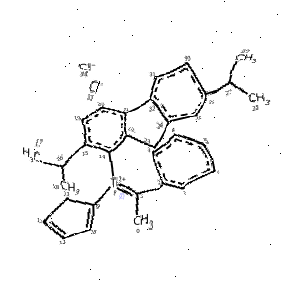 C/[C](c1ccccc1)=[Ti+2](\[C]1=CC=CC1)[c]1c(C(C)C)ccc2c1Cc1cc(C(C)C)ccc1-2.[Cl-].[Cl-]